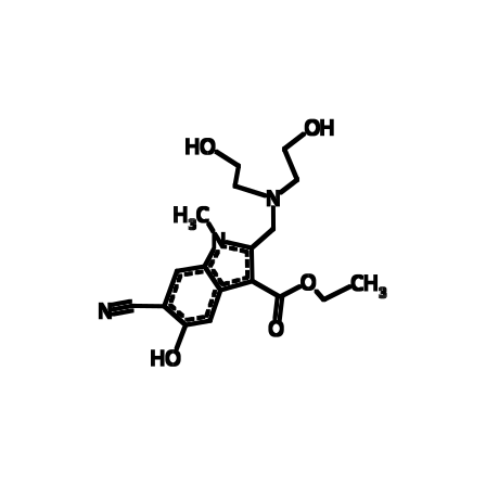 CCOC(=O)c1c(CN(CCO)CCO)n(C)c2cc(C#N)c(O)cc12